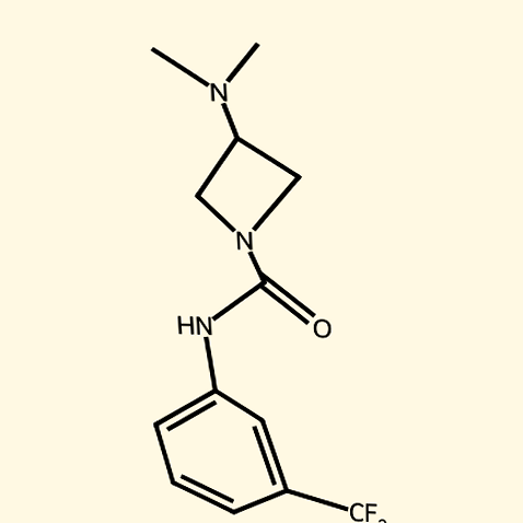 CN(C)C1CN(C(=O)Nc2cccc(C(F)(F)F)c2)C1